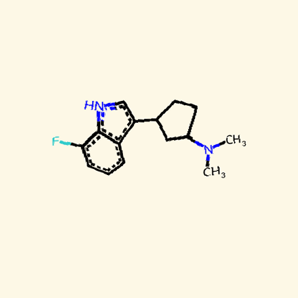 CN(C)C1CCC(c2c[nH]c3c(F)cccc23)C1